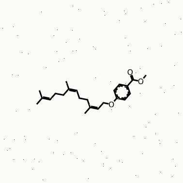 COC(=O)c1ccc(OCC=C(C)CCC=C(C)CCC=C(C)C)cc1